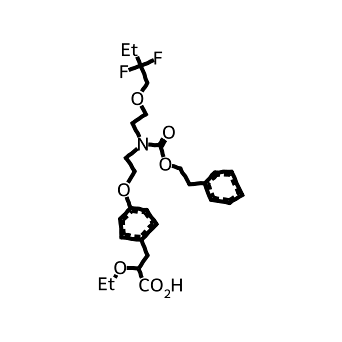 CCOC(Cc1ccc(OCCN(CCOCC(F)(F)CC)C(=O)OCCc2ccccc2)cc1)C(=O)O